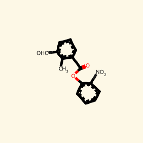 Cc1c(C=O)cccc1C(=O)Oc1ccccc1[N+](=O)[O-]